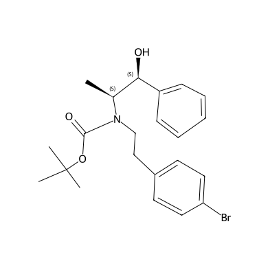 C[C@@H]([C@@H](O)c1ccccc1)N(CCc1ccc(Br)cc1)C(=O)OC(C)(C)C